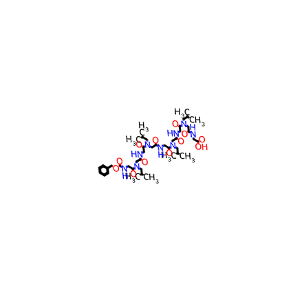 CC(C)CN(CC(=O)NCC(=O)O)C(=O)CNC(=O)CN(CC(C)C)C(=O)CNC(=O)CN(CC(C)C)C(=O)CNC(=O)CN(CC(C)C)C(=O)CNC(=O)OCc1ccccc1